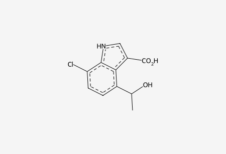 CC(O)c1ccc(Cl)c2[nH]cc(C(=O)O)c12